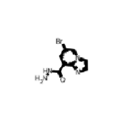 NNC(=O)c1cc(Br)cn2ccnc12